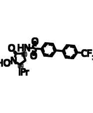 CC(C)[C@H]1C[C@@H](NS(=O)(=O)c2ccc(-c3ccc(C(F)(F)F)cc3)cc2)C(=O)N1O